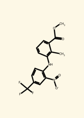 COC(=O)c1cccc(Nc2ccc(C(F)(F)F)cc2[N+](=O)[O-])c1C